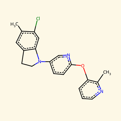 Cc1cc2c(cc1Cl)N(c1ccc(Oc3cccnc3C)nc1)CC2